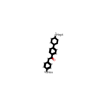 CCCCCCCC1CCC(c2ccc(C(=O)Cc3ccc(CCCCCC)cc3)cc2)CC1